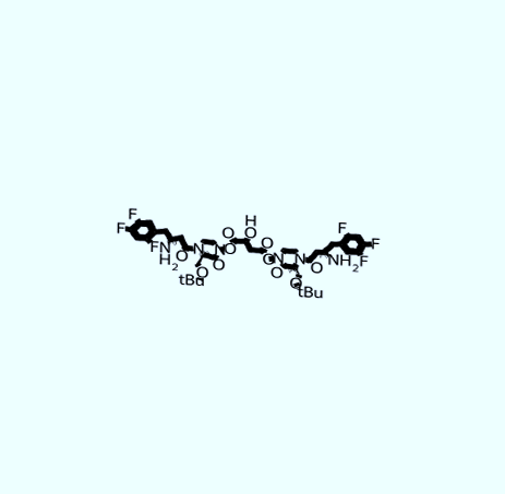 CC(C)(C)OC[C@@H]1C(=O)N(OC(=O)CC(O)C(=O)ON2CCN(C(=O)C[C@H](N)Cc3cc(F)c(F)cc3F)[C@H](COC(C)(C)C)C2=O)CCN1C(=O)C[C@H](N)Cc1cc(F)c(F)cc1F